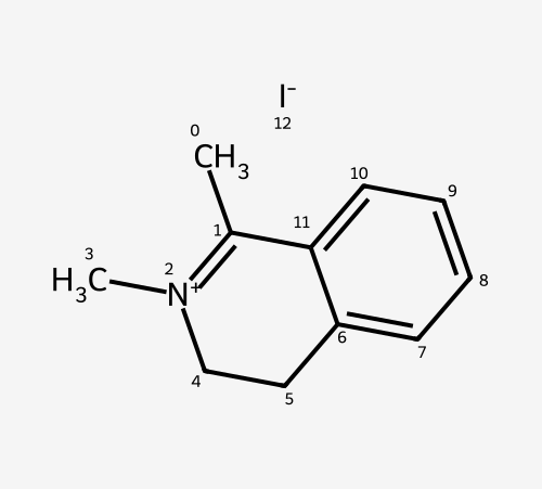 CC1=[N+](C)CCc2ccccc21.[I-]